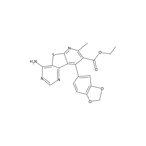 CCOC(=O)c1c(C)nc2sc3c(N)ncnc3c2c1-c1ccc2c(c1)OCO2